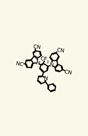 N#Cc1ccc2c(c1)c1cc(C#N)ccc1n2-c1cc(-c2cccc(-c3ccccc3)n2)cc(-n2c3ccc(C#N)cc3c3cc(C#N)ccc32)c1C(F)(F)F